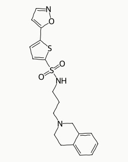 O=S(=O)(NCCCN1CCc2ccccc2C1)c1ccc(-c2ccno2)s1